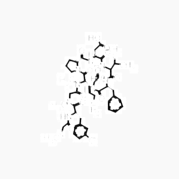 CCCC[C@@H](C(=O)N1CCC[C@@H]1C(=O)N[C@@H](CC(=O)O)C(=O)NC(C(=O)N(C)[C@@H](Cc1ccccc1)C(=O)NCC=O)C(C)C)N(C)C(=O)CN(C)C(=O)[C@H](Cc1cccc(Cl)c1)NC(=O)CSC